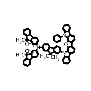 CC1(C)c2ccccc2-c2ccc(N(c3ccc4c(c3)C(C)(C)c3ccccc3-4)c3ccc4c(c3)C(C)(C)c3cc(-n5c6ccccc6c6ccc7c8ccc9c%10ccccc%10n(-c%10ccccc%10)c9c8oc7c65)ccc3-4)cc21